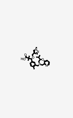 Cc1ccc(C(OCc2cn(C)nn2)C(C)(C)C(=O)O)cc1CN1Cc2ncccc2OC(C(C)C)C1